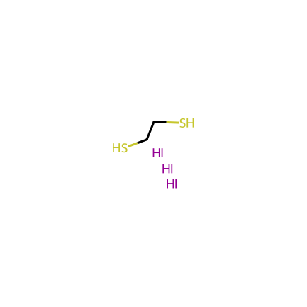 I.I.I.SCCS